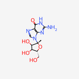 C[C@@]1(n2cnc3c(=O)[nH]c(N)nc32)O[C@H](CO)C(O)C1O